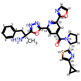 C[C@](N)(Cc1ccccc1)c1nnc(-c2cc(C(=O)N3CCC[C@@H]3c3nc(C4CC4)cs3)cc(-c3ncco3)n2)o1